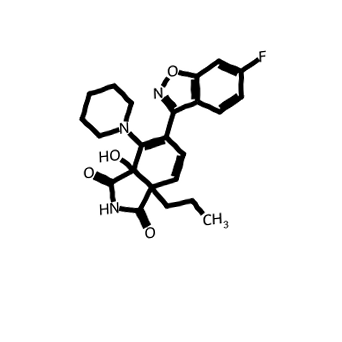 CCCC12C=CC(c3noc4cc(F)ccc34)=C(N3CCCCC3)C1(O)C(=O)NC2=O